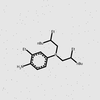 CCCCC(CC)CN(CC(CC)CCCC)c1ccc(N)c(CC)c1